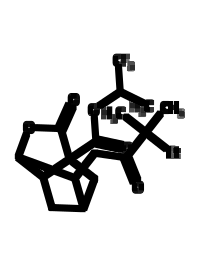 CCC(C)(C)C(=O)CC1C2CC3C1OC(=O)C3(C(=O)OC(C)C(F)(F)F)C2